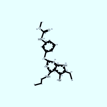 CCCNc1nc(Sc2cccc(NC(=O)OC)c2)nc2[nH]c(CC)c(Br)c12